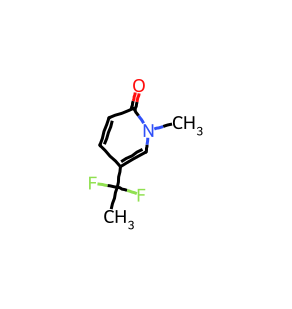 Cn1cc(C(C)(F)F)ccc1=O